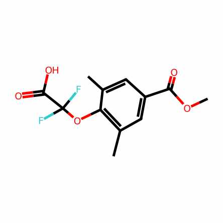 COC(=O)c1cc(C)c(OC(F)(F)C(=O)O)c(C)c1